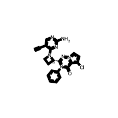 C#Cc1cnc(N)nc1N1CC[C@H]1c1nn2ccc(Cl)c2c(=O)n1-c1ccccc1